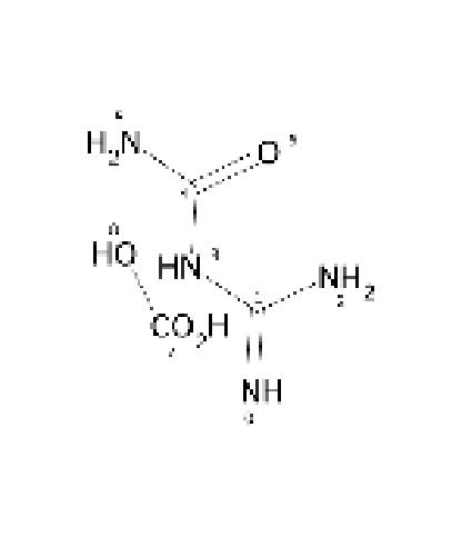 N=C(N)NC(N)=O.O=C(O)O